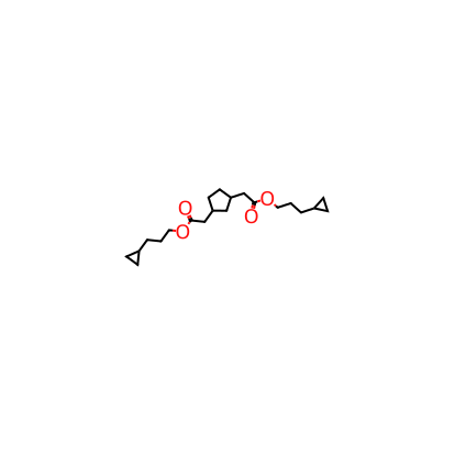 O=C(CC1CCC(CC(=O)OCCCC2CC2)C1)OCCCC1CC1